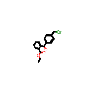 CCOC(=O)c1ccccc1C(=O)c1ccc(CBr)cc1